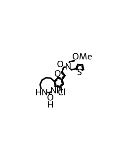 COCCN(Cc1cccs1)C(=O)c1cc2cc(Cl)c3c(c2o1)CCCCCNC(O)N3